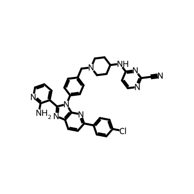 N#Cc1nccc(NC2CCN(Cc3ccc(-n4c(-c5cccnc5N)nc5ccc(-c6ccc(Cl)cc6)nc54)cc3)CC2)n1